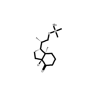 C[C@H](CO[Si](C)(C)C(C)(C)C)[C@H]1CC[C@H]2C(=O)CCC[C@]12C